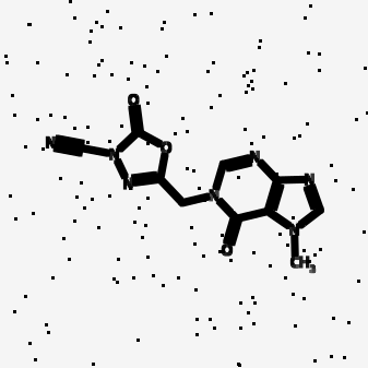 Cn1cnc2ncn(Cc3nn(C#N)c(=O)o3)c(=O)c21